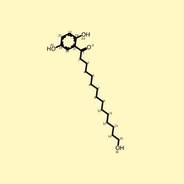 O=C(CCCCCCCCCCCCCCO)c1cc(O)ccc1O